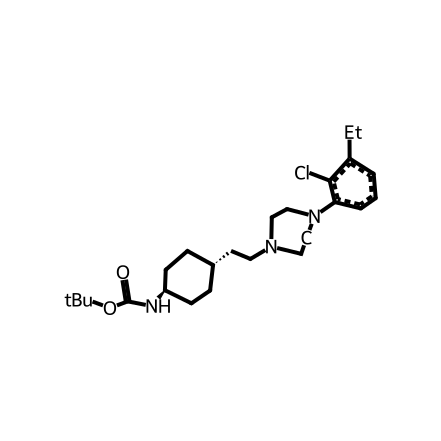 CCc1cccc(N2CCN(CC[C@H]3CC[C@H](NC(=O)OC(C)(C)C)CC3)CC2)c1Cl